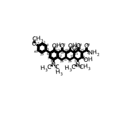 COc1ccc(-c2cc(N(C)C)c3c(c2O)C(=O)C2=C(O)C4(O)C(=O)C(C(N)=O)=C(O)C(N(C)C)C4CC2C3)cc1